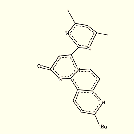 Cc1cc(C)nc(-c2cc(=O)nc3c4ccc(C(C)(C)C)nc4ccn23)n1